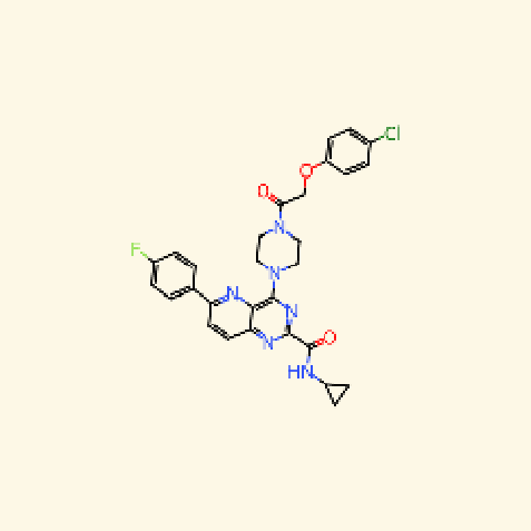 O=C(NC1CC1)c1nc(N2CCN(C(=O)COc3ccc(Cl)cc3)CC2)c2nc(-c3ccc(F)cc3)ccc2n1